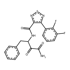 NC(=O)C(=O)C(Cc1ccccc1)NC(=O)c1nsnc1-c1cccc(F)c1F